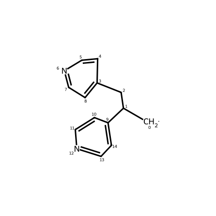 [CH2]C(Cc1ccncc1)c1ccncc1